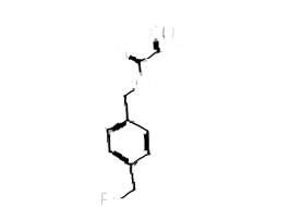 C=CC(=O)OCc1ccc(CC(C)C)cc1